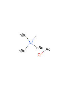 CC(=O)[O-].CCCC[N+](C)(CCCC)CCCC